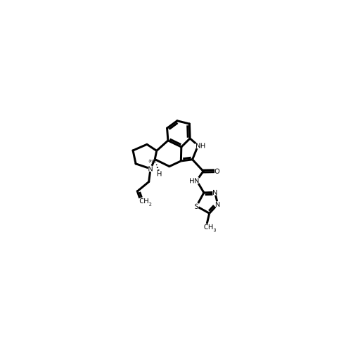 C=CCN1CCCC2c3cccc4[nH]c(C(=O)Nc5nnc(C)s5)c(c34)C[C@H]21